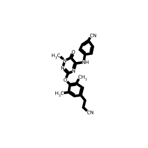 Cc1cc(CCC#N)cc(C)c1Oc1nc(Nc2ccc(C#N)cc2)c(=O)n(C)n1